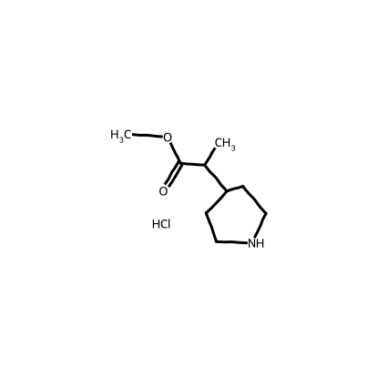 COC(=O)C(C)C1CCNCC1.Cl